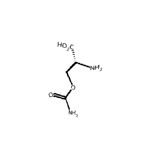 NC(=O)OC[C@@H](N)C(=O)O